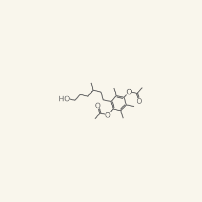 CC(=O)Oc1c(C)c(C)c(OC(C)=O)c(CCC(C)CCCO)c1C